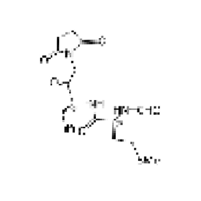 CSCC[C@H](NC=O)C(=O)N[C@@H](CC(C)C)C(=O)CN1C(=O)CCC1=O